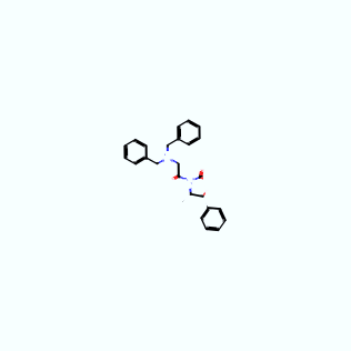 C[C@@H]1[C@H](c2ccccc2)OC(=O)N1C(=O)CN(Cc1ccccc1)Cc1ccccc1